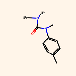 Cc1ccc(N(C)C(=O)N(C(C)C)C(C)C)cc1